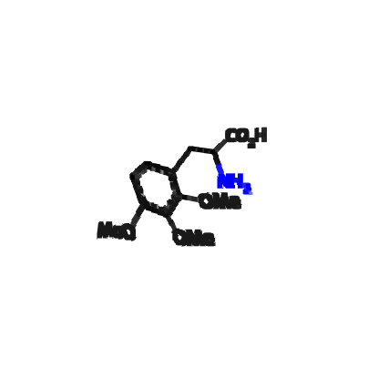 COc1ccc(CC(N)C(=O)O)c(OC)c1OC